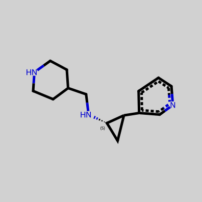 c1cncc(C2C[C@@H]2NCC2CCNCC2)c1